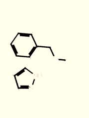 O=COCc1ccccc1.c1cn[nH]c1